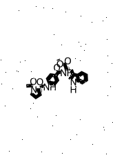 COC(=O)[C@H](Cc1c[nH]c2ccccc12)NC(=O)c1ccc(NC(=O)[C@@H]2CCCN2C(C)=O)cc1